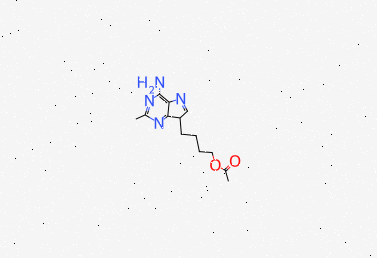 CC(=O)OCCCCC1C=Nc2c(N)nc(C)nc21